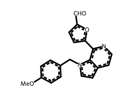 COc1ccc(Cn2ccc3ccnc(-c4ccc(C=O)o4)c32)cc1